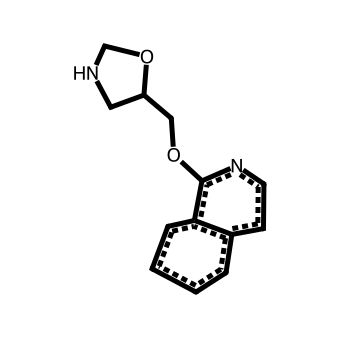 c1ccc2c(OCC3CNCO3)nccc2c1